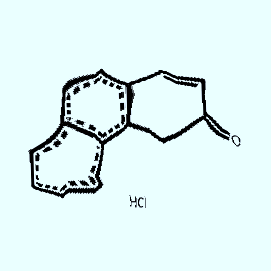 Cl.O=C1C=Cc2ccc3ccccc3c2C1